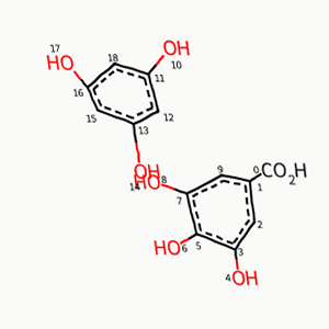 O=C(O)c1cc(O)c(O)c(O)c1.Oc1cc(O)cc(O)c1